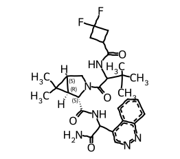 CC(C)(C)C(NC(=O)C1CC(F)(F)C1)C(=O)N1C[C@H]2[C@@H]([C@H]1C(=O)NC(C(N)=O)c1cnnc3ccccc13)C2(C)C